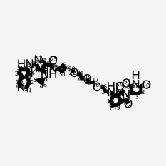 O=C1CCC(N2C(=O)c3cccc(NCCOCCOCCOC[C@H]4C[C@H](NC(=O)c5cnc(Nc6ccc7cnccc7n6)cc5NC5CC5)C4)c3C2O)C(=O)N1